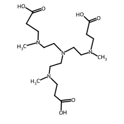 CN(CCC(=O)O)CCN(CCN(C)CCC(=O)O)CCN(C)CCC(=O)O